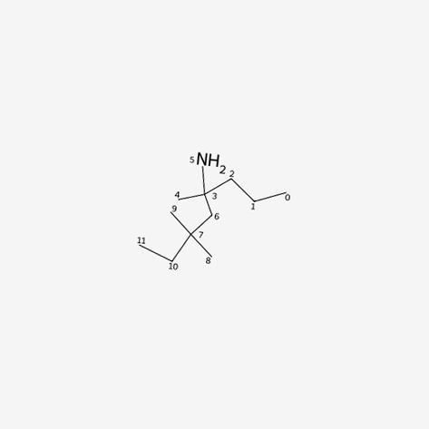 CCCC(C)(N)CC(C)(C)CC